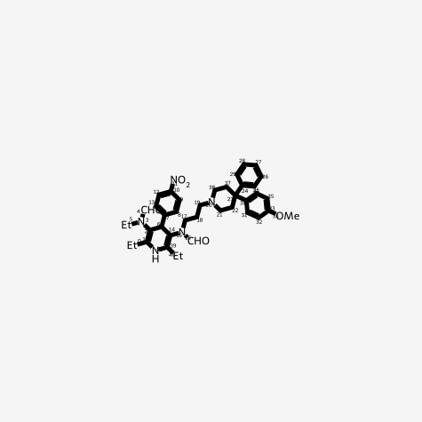 CCC1=C(N(C=O)CC)C(c2ccc([N+](=O)[O-])cc2)C(N(C=O)CCCN2CCC(c3ccccc3)(c3ccc(OC)cc3)CC2)=C(CC)N1